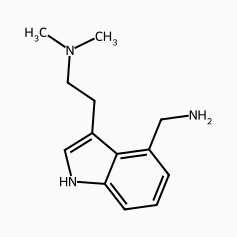 CN(C)CCc1c[nH]c2cccc(CN)c12